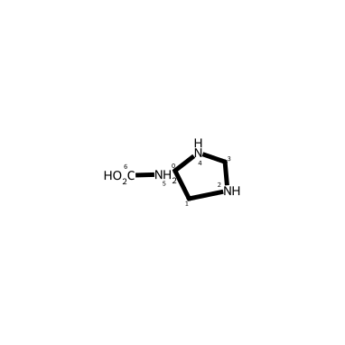 C1CNCN1.NC(=O)O